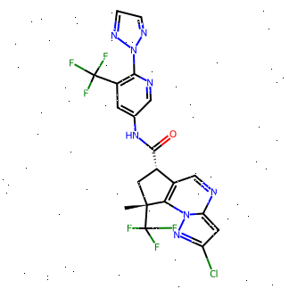 C[C@@]1(C(F)(F)F)C[C@H](C(=O)Nc2cnc(-n3nccn3)c(C(F)(F)F)c2)c2cnc3cc(Cl)nn3c21